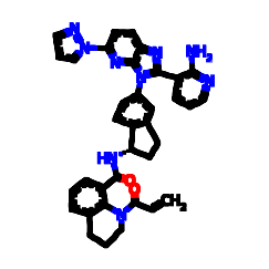 C=CC(=O)N1CCCc2cccc(C(=O)N[C@H]3CCc4cc(-n5c(-c6cccnc6N)nc6ccc(-n7cccn7)nc65)ccc43)c21